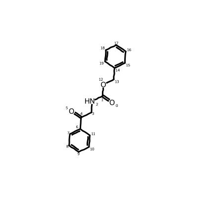 O=C(NCC(=O)c1ccccc1)OCc1ccccc1